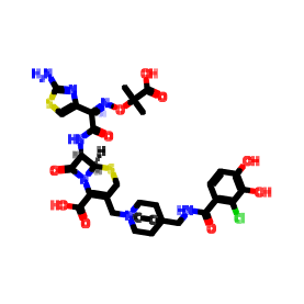 CC(C)(O/N=C(\C(=O)N[C@@H]1C(=O)N2C(C(=O)O)=C(C[N+]34CCC(CNC(=O)c5ccc(O)c(O)c5Cl)(CC3)CC4)CS[C@H]12)c1csc(N)n1)C(=O)O